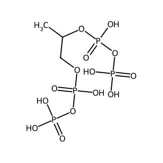 CC(COP(=O)(O)OP(=O)(O)O)OP(=O)(O)OP(=O)(O)O